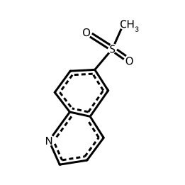 CS(=O)(=O)c1ccc2ncccc2c1